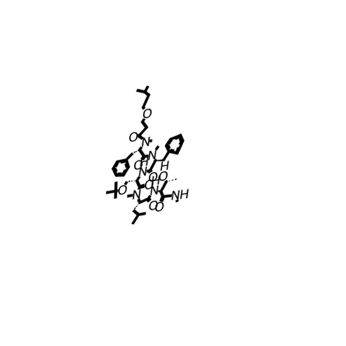 CNC(=O)[C@@H](NC(=O)[C@H](CC(C)C)N(C)C(=O)[C@H](COC(C)(C)C)NC(=O)[C@H](Cc1ccccc1)N(C)C(=O)[C@H](Cc1ccccc1)N(C)C(=O)CCOCCC(C)C)[C@@H](C)O